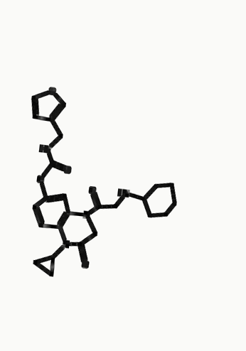 O=C(NCc1ccoc1)Oc1ccc2c(c1)N(C(=O)CNC1CCCCC1)CC(=O)N2C1CC1